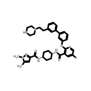 Cc1cc(C(=O)N[C@H]2CC[C@@H](NC(=O)c3cc(F)cnc3Oc3cccc(-c4cccc(CCN5CCNCC5)c4)c3)CC2)nn1C